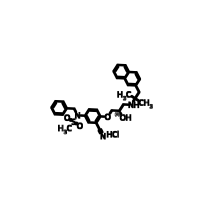 CC(C)(Cc1ccc2ccccc2c1)NC[C@@H](O)COc1ccc(N(Cc2ccccc2)S(C)(=O)=O)cc1C#N.Cl